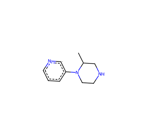 CC1CNCCN1c1[c]nccc1